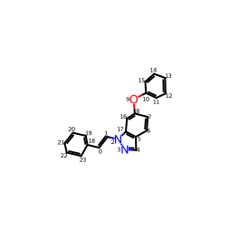 C(=Cn1ncc2ccc(Oc3ccccc3)cc21)c1ccccc1